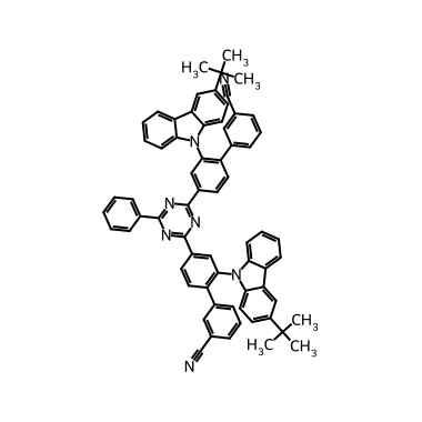 CC(C)(C)c1ccc2c(c1)c1ccccc1n2-c1cc(-c2nc(-c3ccccc3)nc(-c3ccc(-c4cccc(C#N)c4)c(-n4c5ccccc5c5cc(C(C)(C)C)ccc54)c3)n2)ccc1-c1cccc(C#N)c1